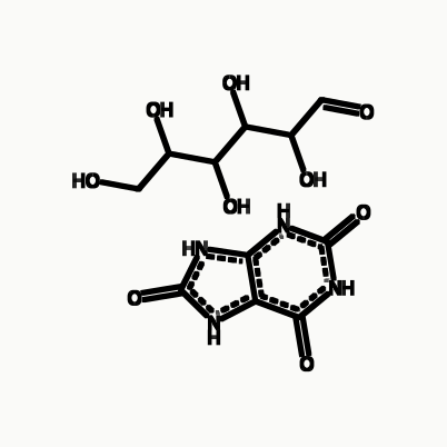 O=CC(O)C(O)C(O)C(O)CO.O=c1[nH]c(=O)c2[nH]c(=O)[nH]c2[nH]1